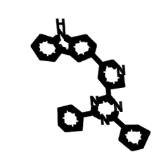 c1ccc(-c2nc(-c3ccccc3)nc(-c3cncc(-c4ccc5[nH]c6ccccc6c5c4)c3)n2)cc1